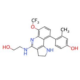 Cc1cc(O)ccc1-c1ccc(OC(F)(F)F)c2nc(NCCO)c3c(c12)NCC3